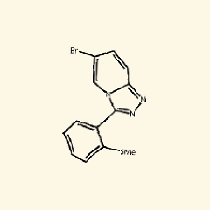 CSc1ccccc1-c1nnc2ccc(Br)cn12